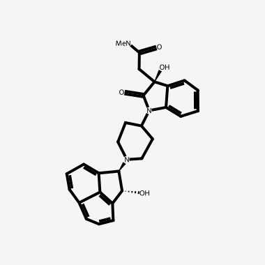 CNC(=O)C[C@@]1(O)C(=O)N(C2CCN([C@@H]3c4cccc5cccc(c45)[C@H]3O)CC2)c2ccccc21